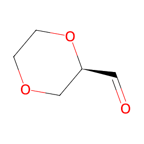 O=C[C@H]1COCCO1